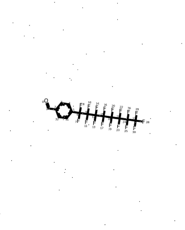 O=Cc1ccc(C(F)(F)C(F)(F)C(F)(F)C(F)(F)C(F)(F)C(F)(F)C(F)(F)C(F)(F)F)cc1